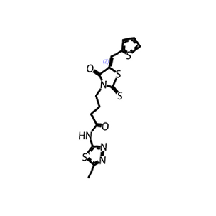 Cc1nnc(NC(=O)CCCN2C(=O)/C(=C/c3cccs3)SC2=S)s1